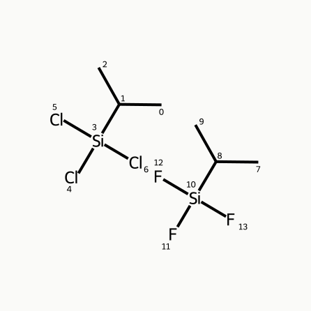 CC(C)[Si](Cl)(Cl)Cl.CC(C)[Si](F)(F)F